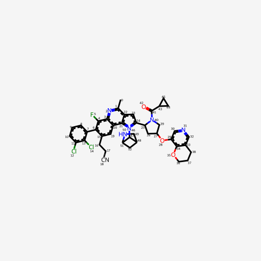 Cc1nc2c(F)c(-c3cccc(Cl)c3Cl)c(CCC#N)cc2c2c1cc(C1CC(Oc3cncc4c3OCCC4)CN1C(=O)C1CC1)n2C1C2CNC1C2